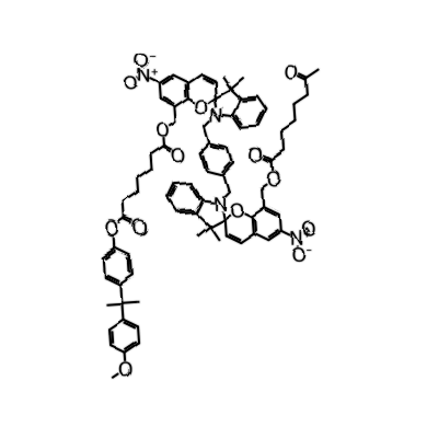 COc1ccc(C(C)(C)c2ccc(OC(=O)CCCCCC(=O)OCc3cc([N+](=O)[O-])cc4c3OC3(C=C4)N(Cc4ccc(CN5c6ccccc6C(C)(C)C56C=Cc5cc([N+](=O)[O-])cc(COC(=O)CCCCCC(C)=O)c5O6)cc4)c4ccccc4C3(C)C)cc2)cc1